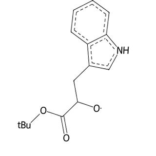 CC(C)(C)OC(=O)C([O])Cc1c[nH]c2ccccc12